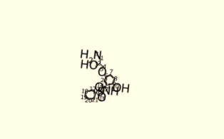 NCC(O)COc1ccc(O)c(NS(=O)(=O)c2ccccc2)c1